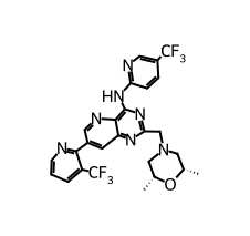 C[C@@H]1CN(Cc2nc(Nc3ccc(C(F)(F)F)cn3)c3ncc(-c4ncccc4C(F)(F)F)cc3n2)C[C@H](C)O1